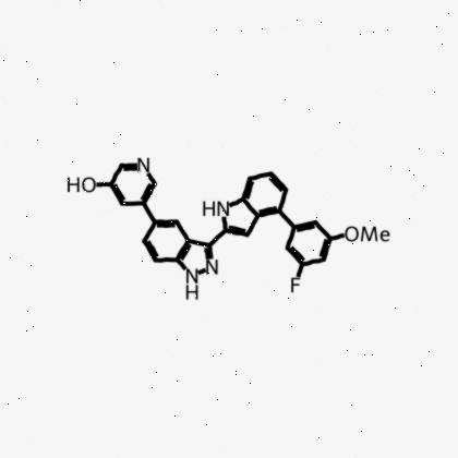 COc1cc(F)cc(-c2cccc3[nH]c(-c4n[nH]c5ccc(-c6cncc(O)c6)cc45)cc23)c1